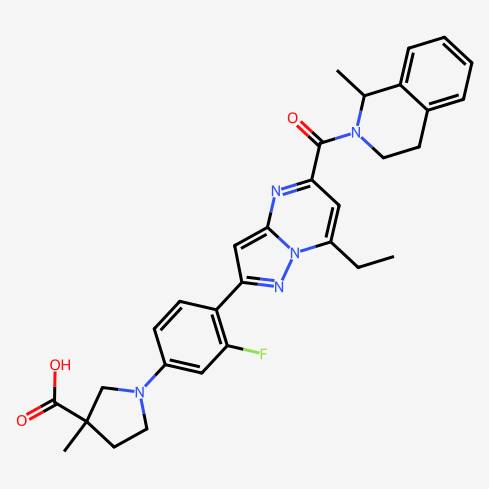 CCc1cc(C(=O)N2CCc3ccccc3C2C)nc2cc(-c3ccc(N4CCC(C)(C(=O)O)C4)cc3F)nn12